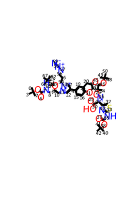 CC(C)(C)OC(=O)NC[C@@H](Cn1cc(-c2ccc3c(c2)CC[C@H](C(C)(O/N=C(\C(=O)O)c2csc(NC(=O)OC(C)(C)C)n2)C(=O)OC(C)(C)C)O3)c[n+]1CCCN=[N+]=[N-])O[Si](C)(C)C(C)(C)C